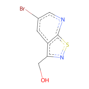 OCc1nsc2ncc(Br)cc12